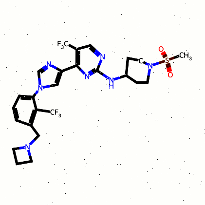 CS(=O)(=O)N1CCC(Nc2ncc(C(F)(F)F)c(-c3cn(-c4cccc(CN5CCC5)c4C(F)(F)F)cn3)n2)CC1